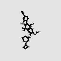 C#Cc1ccc2c3c([nH]c2c1)C(C)(C)c1cc(OC2CCCN(C4CCC4)C2)c(OC(C)C)cc1C3=O